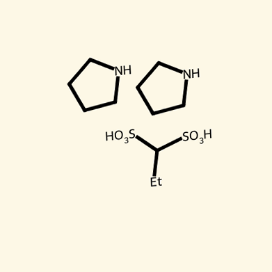 C1CCNC1.C1CCNC1.CCC(S(=O)(=O)O)S(=O)(=O)O